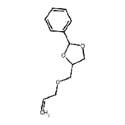 C=CCOCC1COC(c2ccccc2)O1